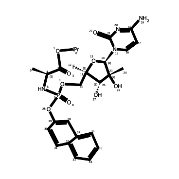 CC(C)OC(=O)[C@H](C)NP(=O)(OC[C@@]1(F)O[C@@H](n2ccc(N)nc2=O)[C@](C)(O)[C@@H]1O)Oc1ccc2ccccc2c1